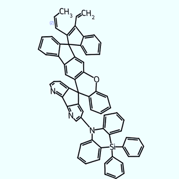 C=CC1=C(/C=C\C)C2(c3ccccc31)c1ccccc1-c1cc3c(cc12)Oc1ccccc1C31c2cccnc2-c2ncc(N3c4ccccc4[Si](c4ccccc4)(c4ccccc4)c4ccccc43)cc21